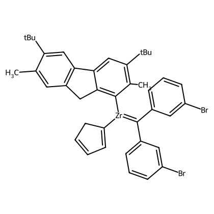 Cc1cc2c(cc1C(C)(C)C)-c1cc(C(C)(C)C)c(C)[c]([Zr]([C]3=CC=CC3)=[C](c3cccc(Br)c3)c3cccc(Br)c3)c1C2